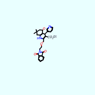 CCOC(=O)C1=C(COCCN2C(=O)c3ccccc3C2=O)NC2=C(C(=O)CC(C)(C)C2)C1c1cccnc1